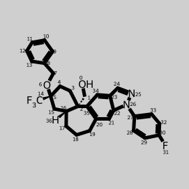 OC[C@@]12CC[C@](OCc3ccccc3)(C(F)(F)F)C[C@H]1CCCc1cc3c(cnn3-c3ccc(F)cc3)cc12